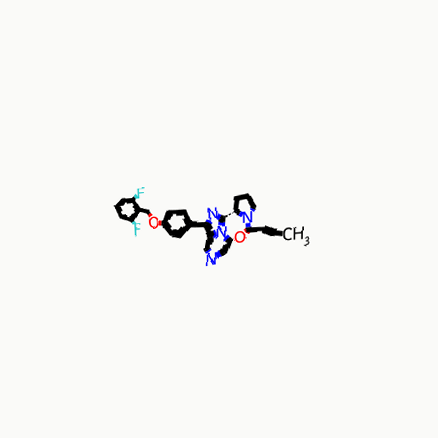 CC#CC(=O)N1CCC[C@H]1c1nc(-c2ccc(OCc3c(F)cccc3F)cc2)c2cnccn12